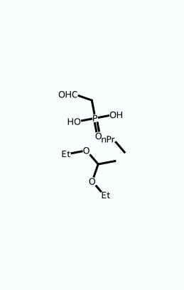 CCCC.CCOC(C)OCC.O=CCP(=O)(O)O